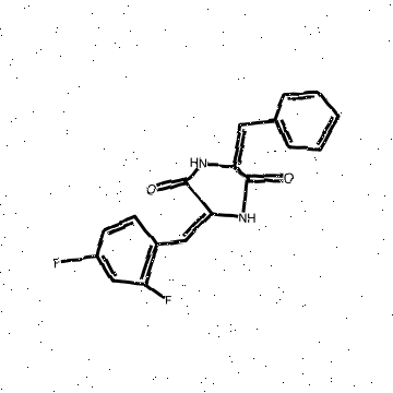 O=c1[nH]c(=Cc2ccc(F)cc2F)c(=O)[nH]c1=Cc1ccccc1